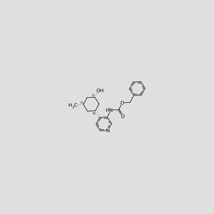 C[C@@H]1C[C@H](O)C[C@H](c2ccncc2NC(=O)OCc2ccccc2)C1